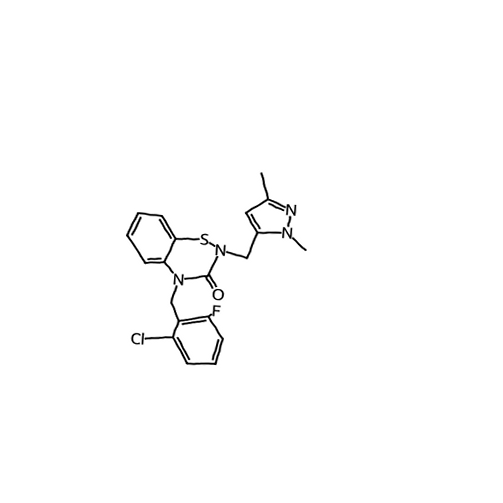 Cc1cc(CN2Sc3ccccc3N(Cc3c(F)cccc3Cl)C2=O)n(C)n1